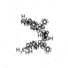 CCNC(=O)Nc1ncnc2c1ncn2[C@@H]1O[C@H](COP(=O)(O)OP(=O)(O)OC[C@H]2O[C@@H](n3cnc4c(NC(=O)NCC)ncnc43)C3OC(c4ccccc4)OC32)C2OC(c3ccccc3)OC21